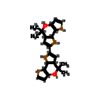 CC1(C)Oc2ccsc2-c2sc(-c3cc4c(s3)-c3sccc3OC4(C)C)cc21